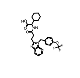 O=C(CCc1nc2cccnc2n1Cc1ccc(OC(F)(F)F)cc1)NC(C(=O)O)C1CCCCC1